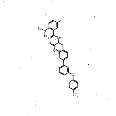 CCN(CC)c1ccc(Cl)cc1C(=O)NC(Cc1ccc(-c2cccc(Oc3ccc(C(F)(F)F)cc3)c2)cc1)C(=O)OC